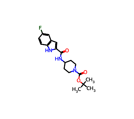 CC(C)(C)OC(=O)N1CCC(NC(=O)c2cc3cc(F)ccc3[nH]2)CC1